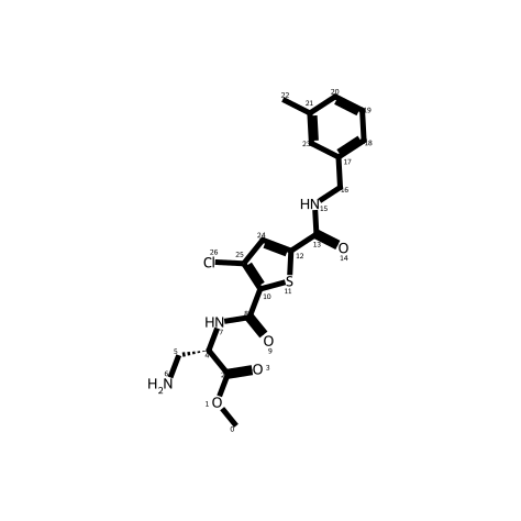 COC(=O)[C@H](CN)NC(=O)c1sc(C(=O)NCc2cccc(C)c2)cc1Cl